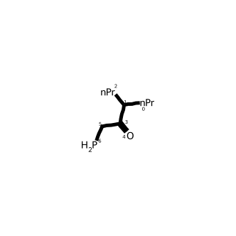 CCCC(CCC)C(=O)CP